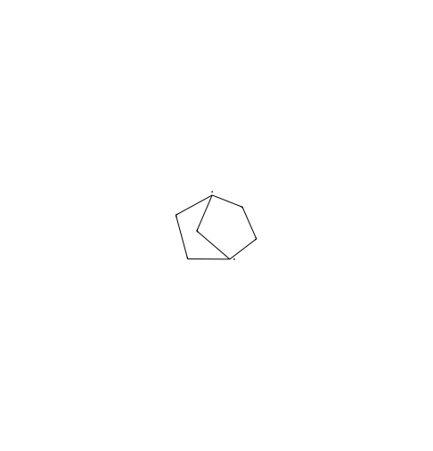 C1C[C]2CC[C]1C2